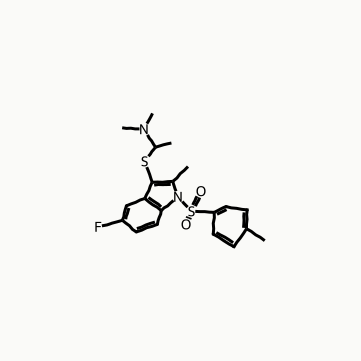 Cc1ccc(S(=O)(=O)n2c(C)c(SC(C)N(C)C)c3cc(F)ccc32)cc1